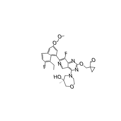 CCc1c(F)ccc2cc(OCOC)cc(-c3ncc4c(N5CCOC[C@@](C)(O)C5)nc(OCC5(C=O)CC5)nc4c3F)c12